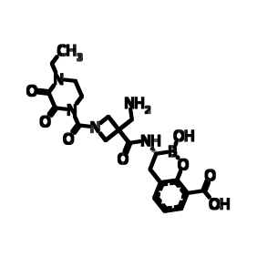 CCN1CCN(C(=O)N2CC(CN)(C(=O)N[C@H]3Cc4cccc(C(=O)O)c4OB3O)C2)C(=O)C1=O